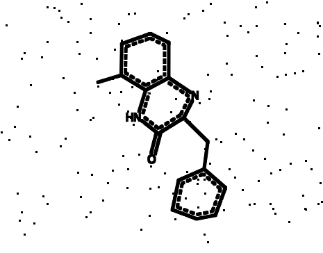 Cc1cccc2nc(Cc3ccccc3)c(=O)[nH]c12